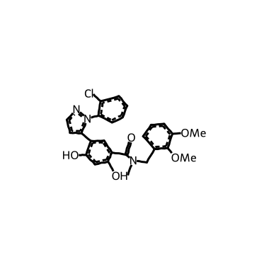 COc1cccc(CN(C)C(=O)c2cc(-c3ccnn3-c3ccccc3Cl)c(O)cc2O)c1OC